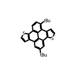 CC(C)(C)c1cc2c3ccsc3c3ccc(C(C)(C)C)c4c5ccsc5c(c1)c2c34